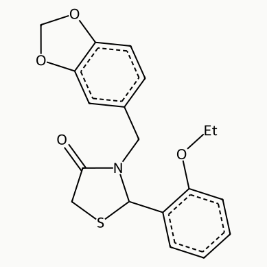 CCOc1ccccc1C1SCC(=O)N1Cc1ccc2c(c1)OCO2